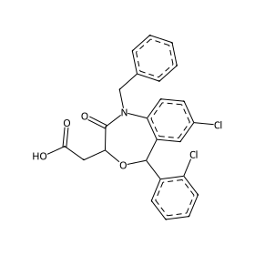 O=C(O)CC1OC(c2ccccc2Cl)c2cc(Cl)ccc2N(Cc2ccccc2)C1=O